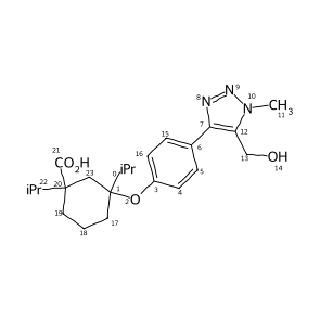 CC(C)C1(Oc2ccc(-c3nnn(C)c3CO)cc2)CCCC(C(=O)O)(C(C)C)C1